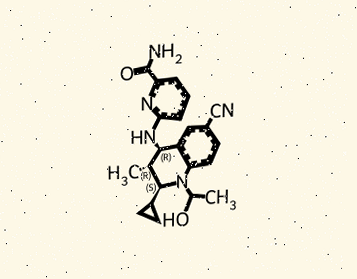 CC(O)N1c2ccc(C#N)cc2[C@H](Nc2cccc(C(N)=O)n2)[C@@H](C)[C@@H]1C1CC1